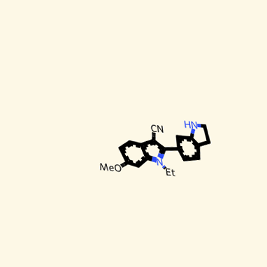 CCn1c(-c2ccc3c(c2)NCC3)c(C#N)c2ccc(OC)cc21